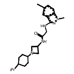 Cc1ccc2c(c1)c(NCC(=O)NC1CN(C3CCC(C(C)C)CC3)C1)nn2C